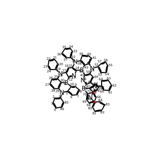 c1ccc(N2c3ccccc3B3c4nc5c(cc4N(c4ccccc4)c4cccc2c43)N(c2ccccc2)c2cccc3c2B5c2nc4c(cc2N3c2ccccc2)N(c2ccccc2)c2cccc3c2B4c2ccccc2N3c2ccccc2)cc1